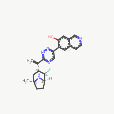 C=C(c1ncc(-c2cc3ccncc3cc2O)nn1)[C@H]1C[C@]2(C)CC[C@@H](N2)[C@@H]1F